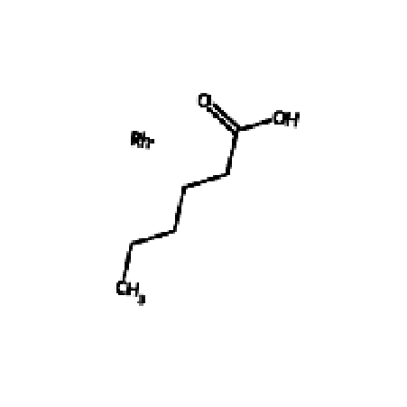 CCCCCC(=O)O.[Rh]